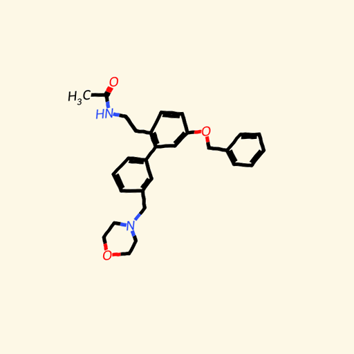 CC(=O)NCCc1ccc(OCc2ccccc2)cc1-c1cccc(CN2CCOCC2)c1